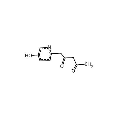 CC(=O)CC(=O)Cc1ccc(O)cn1